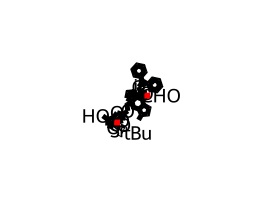 CC(C)C1=CC2CC3(C=O)C4CCC(C)C4CC2(COC24OC5OC(C(O)C5O2)C4O[Si](C)(C)C(C)(C)C)C13C(=O)OC(c1ccccc1)c1ccccc1